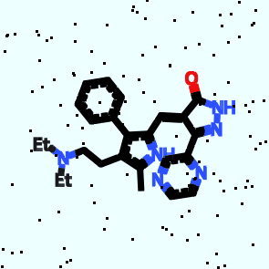 CCN(CC)CCc1c(C)[nH]c(/C=C2/C(=O)NN=C2c2cnccn2)c1-c1ccccc1